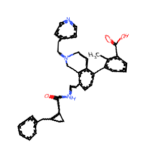 Cc1c(C(=O)O)cccc1-c1ccc(CNC(=O)C2CC2c2ccccc2)c2c1CCN(Cc1ccncc1)C2